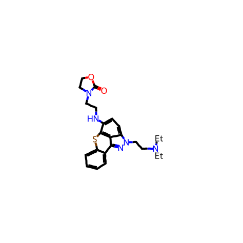 CCN(CC)CCn1nc2c3c(c(NCCN4CCOC4=O)ccc31)Sc1ccccc1-2